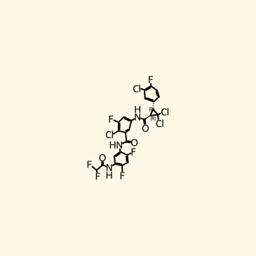 O=C(Nc1cc(NC(=O)C(F)F)c(F)cc1F)c1cc(NC(=O)[C@H]2[C@H](c3ccc(F)c(Cl)c3)C2(Cl)Cl)cc(F)c1Cl